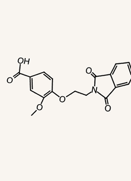 COc1cc(C(=O)O)ccc1OCCN1C(=O)c2ccccc2C1=O